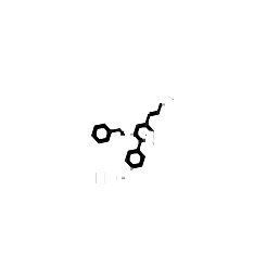 COCC=Cc1cnc(-c2ccc(OC)cc2)c(OCc2ccccc2)c1